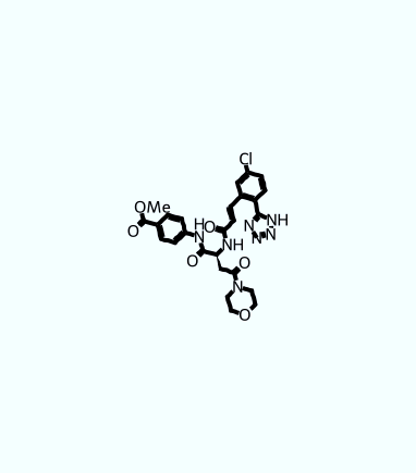 COC(=O)c1ccc(NC(=O)[C@H](CC(=O)N2CCOCC2)NC(=O)/C=C/c2cc(Cl)ccc2-c2nnn[nH]2)cc1